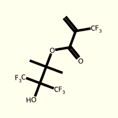 C=C(C(=O)OC(C)(C)C(O)(C(F)(F)F)C(F)(F)F)C(F)(F)F